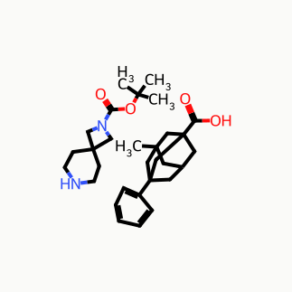 CC(C)(C)OC(=O)N1CC2(CCNCC2)C1.CC12CC3CC(C(=O)O)(C1)CC(c1ccccc1)(C3)C2